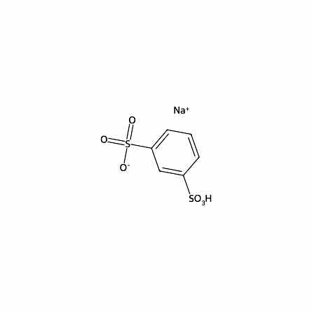 O=S(=O)([O-])c1cccc(S(=O)(=O)O)c1.[Na+]